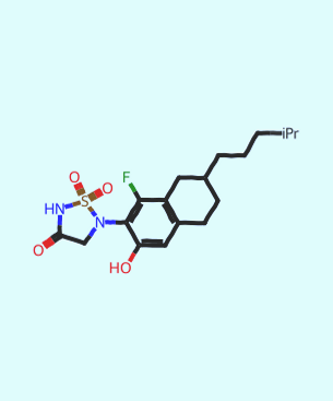 CC(C)CCCC1CCc2cc(O)c(N3CC(=O)NS3(=O)=O)c(F)c2C1